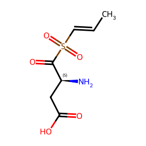 CC=CS(=O)(=O)C(=O)[C@@H](N)CC(=O)O